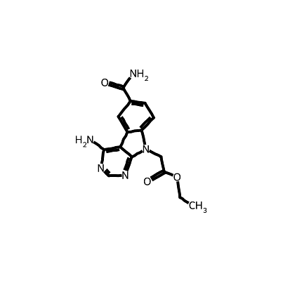 CCOC(=O)Cn1c2ccc(C(N)=O)cc2c2c(N)ncnc21